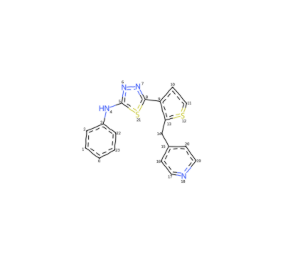 c1ccc(Nc2nnc(-c3ccsc3Cc3ccncc3)s2)cc1